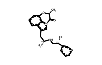 C[C@H](Cc1cn2c3c(cccc13)O[C@@H](C)C2=O)NC[C@H](O)c1cccnc1